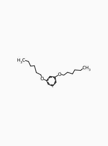 CCCCCCOc1c[c]cc(OCCCCCC)c1